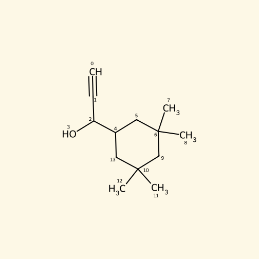 C#CC(O)C1CC(C)(C)CC(C)(C)C1